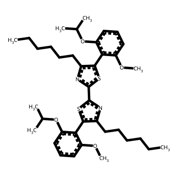 CCCCCCc1nc(-c2nc(CCCCCC)c(-c3c(OC)cccc3OC(C)C)s2)sc1-c1c(OC)cccc1OC(C)C